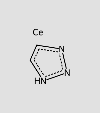 [Ce].c1c[nH]nn1